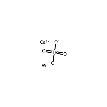 O=[Te](=O)([O-])[O-].[Ca+2].[W]